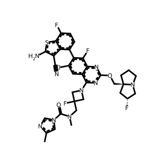 Cc1cn(C(=O)N(C)CC2(F)CN(c3nc(OC[C@@]45CCCN4C[C@H](F)C5)nc4c(F)c(-c5ccc(F)c6sc(N)c(C#N)c56)c(Cl)cc34)C2)cn1